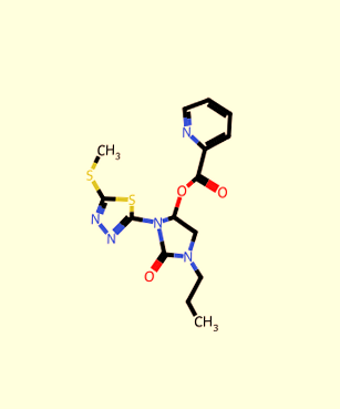 CCCN1CC(OC(=O)c2ccccn2)N(c2nnc(SC)s2)C1=O